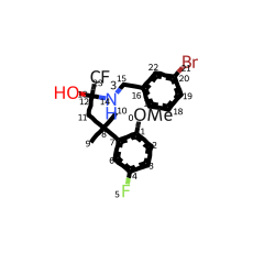 COc1ccc(F)cc1C(C)(C)CC(O)(NCc1cccc(Br)c1)C(F)(F)F